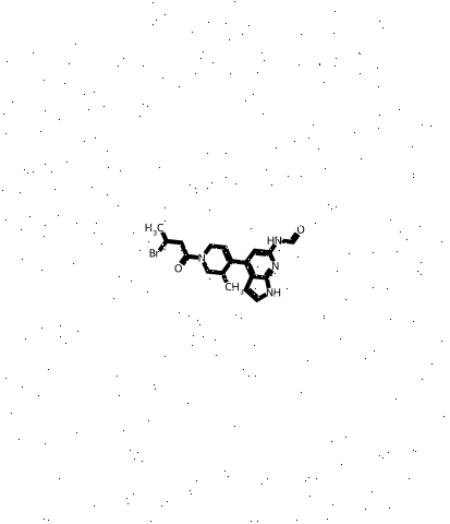 CC(Br)CC(=O)N1CC=C(c2cc(NC=O)nc3[nH]ccc23)C(C)C1